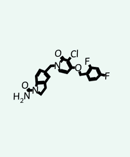 NC(=O)N1CCc2cc(Cn3ccc(OCc4ccc(F)cc4F)c(Cl)c3=O)ccc21